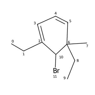 CCC1=CC=CC(C)(CC)C1Br